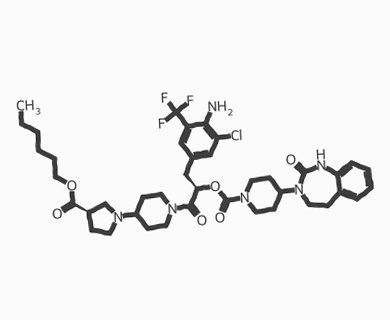 CCCCCCOC(=O)[C@@H]1CCN(C2CCN(C(=O)[C@@H](Cc3cc(Cl)c(N)c(C(F)(F)F)c3)OC(=O)N3CCC(N4CCc5ccccc5NC4=O)CC3)CC2)C1